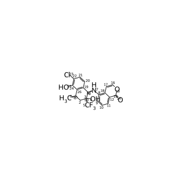 C[C@@H]1C[C@](O)(C(F)(F)F)[C@H](Nc2cccc3c(=O)occc23)c2ccc(Cl)c(O)c21